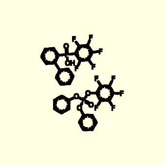 O=P(O)(c1ccccc1-c1ccccc1)c1c(F)c(F)c(F)c(F)c1F.O=P(Oc1ccccc1)(Oc1ccccc1)Oc1c(F)c(F)c(F)c(F)c1F